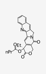 CCCC(=O)O[C@]1(CC)C(=O)OCc2c1cc1n(c2=O)Cc2cc3ccccc3nc2-1